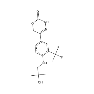 CC(C)(O)CNc1ccc(C2=NNC(=O)OC2)cc1C(F)(F)F